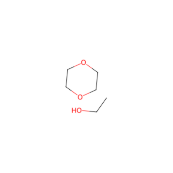 C1COCCO1.CCO